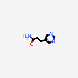 NC(=O)CCc1cncnc1